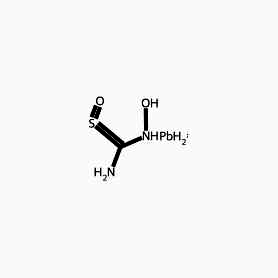 NC(NO)=S=O.[PbH2]